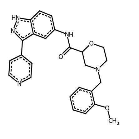 COc1ccccc1CN1CCOC(C(=O)Nc2ccc3[nH]nc(-c4ccncc4)c3c2)C1